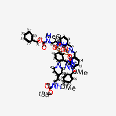 COc1ccc(CN(Cc2ccc(OC)cc2)S(=O)(=O)c2c(S(=O)(=O)N[C@H](C)CNC(=O)OCc3ccccc3)ccc(N3CCC(CCNC(=O)OC(C)(C)C)CC3)c2-c2nnn(Cc3ccc(OC)cc3)n2)cc1